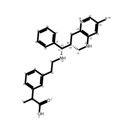 CC(C(=O)O)c1cccc(CCN[C@H](c2ccccc2)[C@H]2CNc3cc(F)cnc3C2)c1